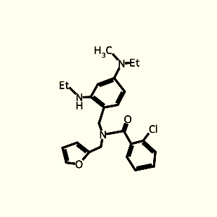 CCNc1cc(N(C)CC)ccc1CN(Cc1ccco1)C(=O)c1ccccc1Cl